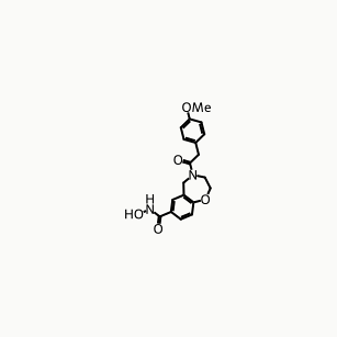 COc1ccc(CC(=O)N2CCOc3ccc(C(=O)NO)cc3C2)cc1